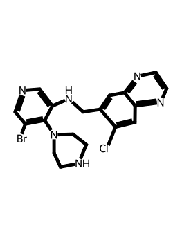 Clc1cc2nccnc2cc1CNc1cncc(Br)c1N1CCNCC1